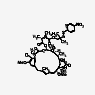 COc1cc2cc(c1Cl)N(C)C(=O)C[C@H](OC(=O)[C@H](C)N(C)C(=O)OCC(C)(C)SSc1ccc([N+](=O)[O-])cn1)[C@@]1(C)O[C@H]1[C@H](C)[C@]1(C)C[C@@](O)(NC(=O)O1)[C@H](OC)/C=C/C=C(\C)C2